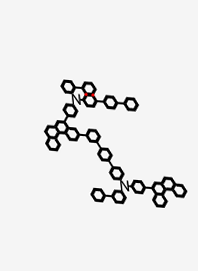 c1ccc(-c2ccc(-c3ccc(N(c4ccc(-c5cc6ccc7ccccc7c6c6ccc(-c7cccc(-c8ccc(-c9ccc(N(c%10ccc(-c%11cc%12ccc%13ccccc%13c%12c%12ccccc%11%12)cc%10)c%10cccc(-c%11ccccc%11)c%10)cc9)cc8)c7)cc56)cc4)c4ccccc4-c4ccccc4)cc3)cc2)cc1